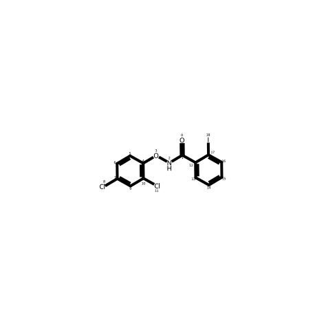 O=C(NOc1ccc(Cl)cc1Cl)c1ccccc1I